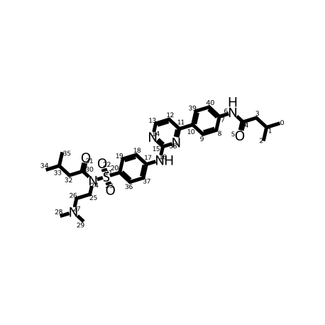 CC(C)CC(=O)Nc1ccc(-c2ccnc(Nc3ccc(S(=O)(=O)N(CCN(C)C)C(=O)CC(C)C)cc3)n2)cc1